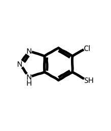 Sc1cc2[nH]nnc2cc1Cl